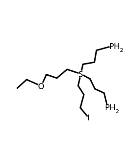 CCOCCCS(CCCP)(CCCP)CCCI